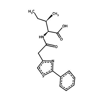 CC[C@@H](C)[C@H](NC(=O)Cc1csc(-c2ccccc2)n1)C(=O)O